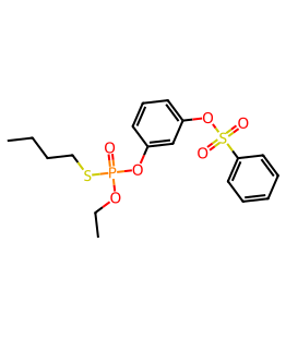 CCCCSP(=O)(OCC)Oc1cccc(OS(=O)(=O)c2ccccc2)c1